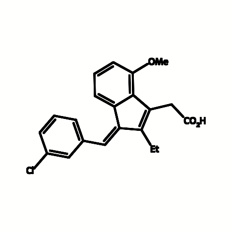 CCC1=C(CC(=O)O)c2c(OC)cccc2/C1=C\c1cccc(Cl)c1